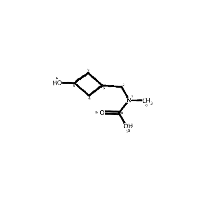 CN(CC1CC(O)C1)C(=O)O